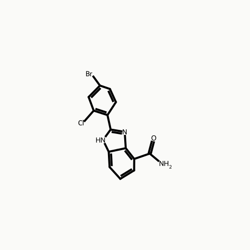 NC(=O)c1cccc2[nH]c(-c3ccc(Br)cc3Cl)nc12